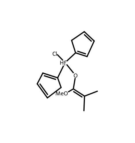 COC([O][Hf]([Cl])([C]1=CC=CC1)[C]1=CC=CC1)=C(C)C